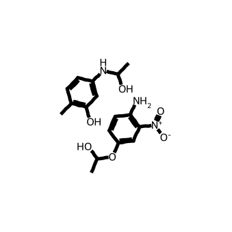 CC(O)Oc1ccc(N)c([N+](=O)[O-])c1.Cc1ccc(NC(C)O)cc1O